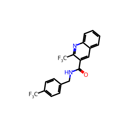 O=C(NCc1ccc(C(F)(F)F)cc1)c1cc2ccccc2nc1C(F)(F)F